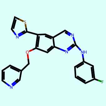 Fc1cccc(Nc2ncc3cc(-c4nccs4)c(OCc4cccnc4)cc3n2)c1